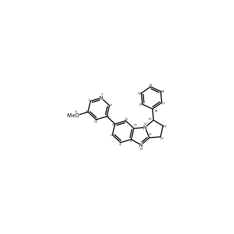 COc1cncc(-c2ccc3nc4n(c3c2)C(c2ccccc2)CC4)c1